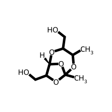 CC1OC2(C)OC(CO)[C@H](OC1CO)O2